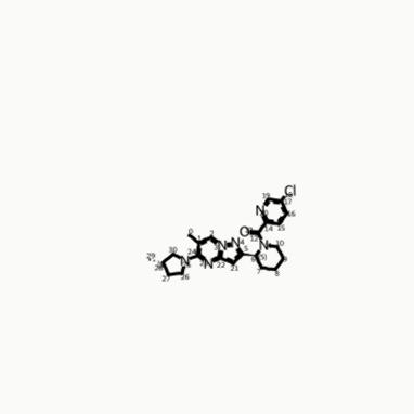 Cc1cn2nc([C@@H]3CCCCN3C(=O)c3ccc(Cl)cn3)cc2nc1N1CC[C@H](C)C1